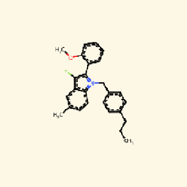 CCCc1ccc(Cn2c(-c3ccccc3OC)c(F)c3cc(C)ccc32)cc1